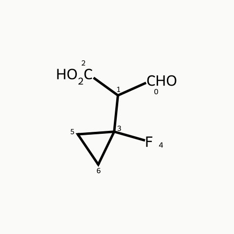 O=CC(C(=O)O)C1(F)CC1